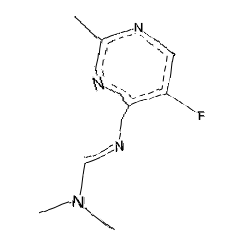 Cc1ncc(F)c(/N=C/N(C)C)n1